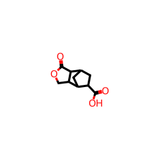 O=C(O)C1CC2CC1C1COC(=O)C21